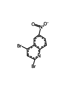 O=[N+]([O-])c1ccc2nc(Br)cc(Br)c2c1